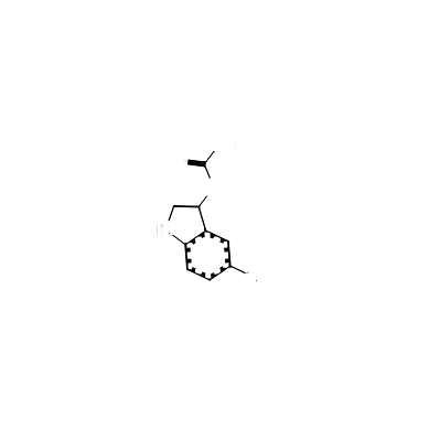 CC(C)(C)C(=O)OC1CNc2ccc([N+](=O)[O-])cc21